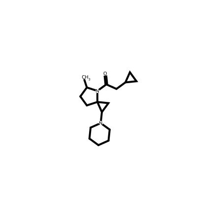 CC1CCC2(CC2N2CCCCC2)N1C(=O)CC1CC1